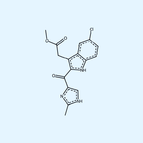 COC(=O)Cc1c(C(=O)c2c[nH]c(C)n2)[nH]c2ccc(Cl)cc12